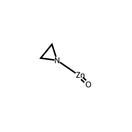 [O]=[Zn][N]1CC1